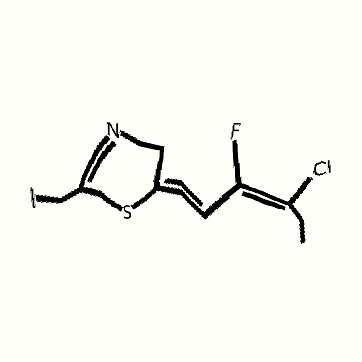 C/C(Cl)=C(F)\C=C1/CN=C(I)S1